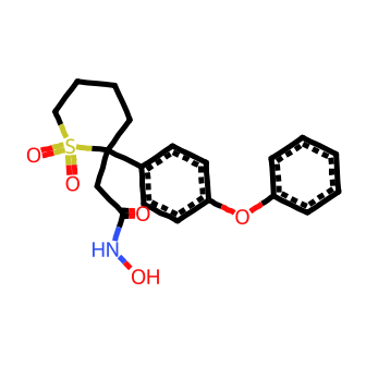 O=C(CC1(c2ccc(Oc3ccccc3)cc2)CCCCS1(=O)=O)NO